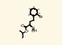 CC(C)OC(=O)C(CCc1ccccc1Br)=NO